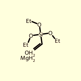 C=C[Si](OCC)(OCC)OCC.O.[MgH2]